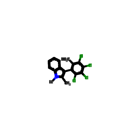 CCn1c(C)c(-c2c(Cl)c(Cl)c(Cl)c(Cl)c2C(=O)O)c2ccccc21